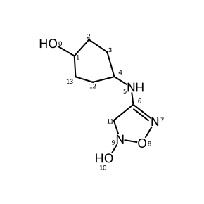 OC1CCC(NC2=NON(O)C2)CC1